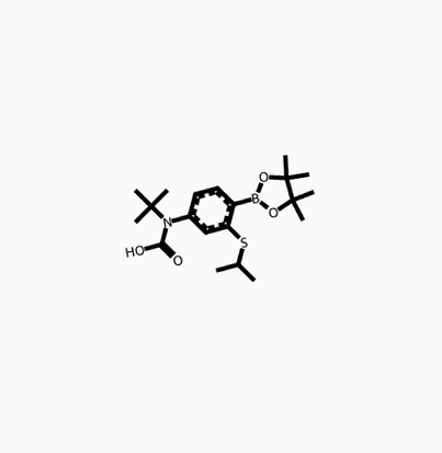 CC(C)Sc1cc(N(C(=O)O)C(C)(C)C)ccc1B1OC(C)(C)C(C)(C)O1